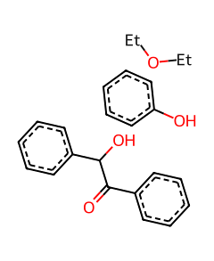 CCOCC.O=C(c1ccccc1)C(O)c1ccccc1.Oc1ccccc1